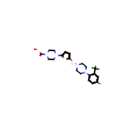 COC(=O)N1CCN(c2ccc(S(=O)(=O)N3CCN(c4ccc(F)cc4C(F)(F)F)C[C@H]3C)s2)CC1